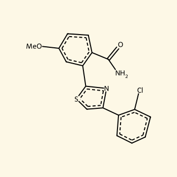 COc1ccc(C(N)=O)c(-c2nc(-c3ccccc3Cl)cs2)c1